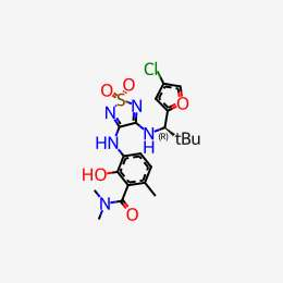 Cc1ccc(NC2=NS(=O)(=O)N=C2N[C@@H](c2cc(Cl)co2)C(C)(C)C)c(O)c1C(=O)N(C)C